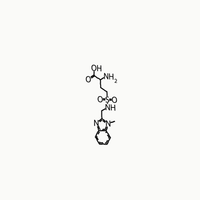 Cn1c(CNS(=O)(=O)CCC(N)C(=O)O)nc2ccccc21